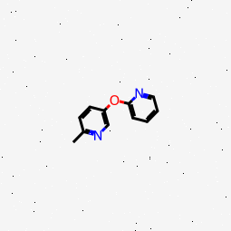 Cc1ccc(Oc2ccccn2)cn1